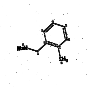 CNCc1ccc[c]c1C